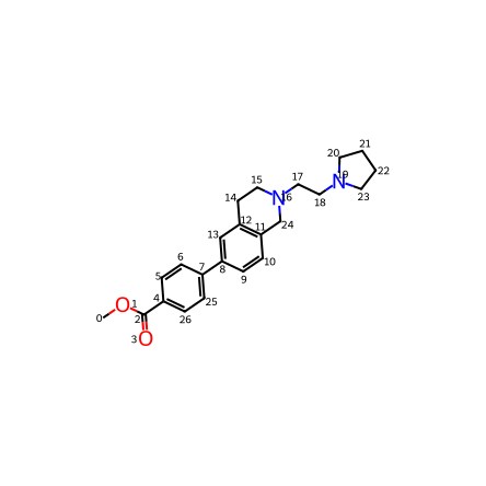 COC(=O)c1ccc(-c2ccc3c(c2)CCN(CCN2CCCC2)C3)cc1